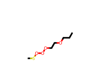 CCCOCCOOOSC